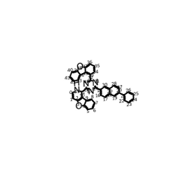 C1=Cc2oc3ccccc3c2C(c2nc(-c3ccc4cc(-c5ccccc5)ccc4c3)nc(-c3cccc4oc5ccccc5c34)n2)N1